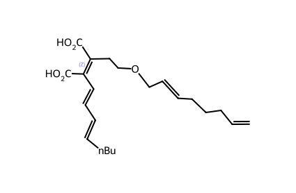 C=CCCCC=CCOCC/C(C(=O)O)=C(\C=CC=CCCCC)C(=O)O